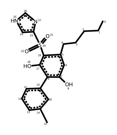 CCCCCc1cc(O)c(-c2cccc(C)c2)c(O)c1S(=O)(=O)c1c[nH]cn1